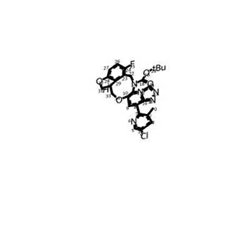 Cc1cc(Cl)cnc1-c1cc2c(n3cnnc13)N(C(=O)OC(C)(C)C)Cc1c(F)ccc3c1[C@H](CO3)CO2